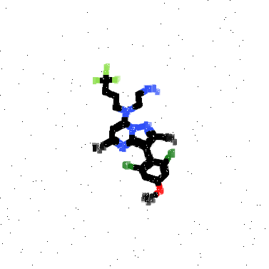 COc1cc(Cl)c(-c2c(C)nn3c(N(CCN)CCCC(F)(F)F)cc(C)nc23)c(Cl)c1